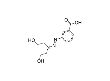 O=C(O)c1cccc(/N=N/N(CCO)CCO)c1